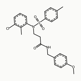 COc1ccc(CNC(=O)CCN(c2cccc(Cl)c2C)S(=O)(=O)c2ccc(C)cc2)cc1